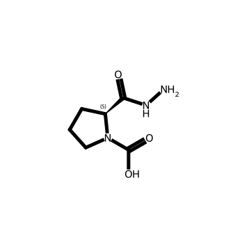 NNC(=O)[C@@H]1CCCN1C(=O)O